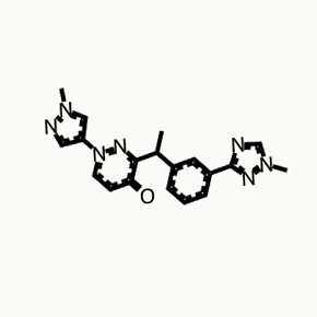 CC(c1cccc(-c2ncn(C)n2)c1)c1nn(-c2cnn(C)c2)ccc1=O